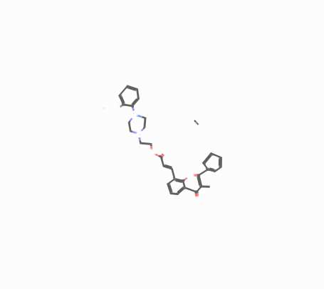 COc1ccccc1N1CCN(CCOC(=O)/C=C/c2cccc3c(=O)c(C)c(-c4ccccc4)oc23)CC1.CS(=O)(=O)O